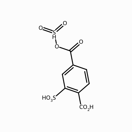 O=C(O[SH](=O)=O)c1ccc(C(=O)O)c(S(=O)(=O)O)c1